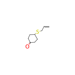 C=CCSC1CCC(=O)CC1